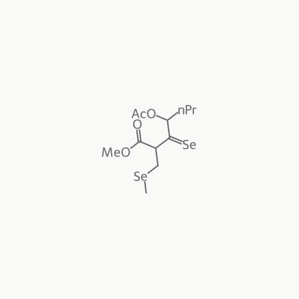 CCCC(OC(C)=O)C(=[Se])C(C[Se]C)C(=O)OC